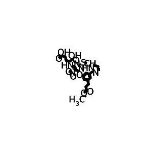 CCOC(=O)CCc1cc(Oc2nc(SC)nc(NC(CCC(=O)O)C(=O)O)c2[N+](=O)[O-])cc(C2N=CCCN2)c1